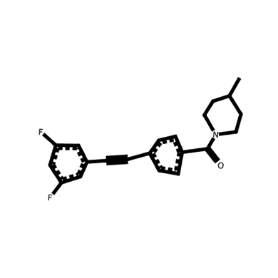 CC1CCN(C(=O)c2ccc(C#Cc3cc(F)cc(F)c3)cc2)CC1